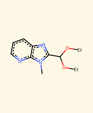 CCOC(OCC)c1nc2cccnc2n1C